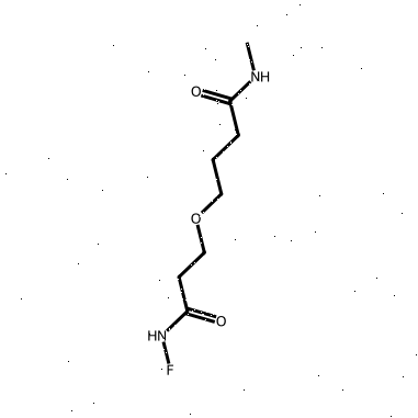 CNC(=O)CCCOCCC(=O)NF